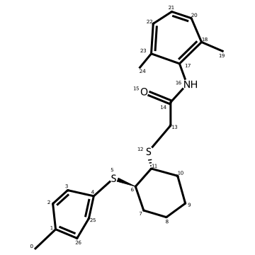 Cc1ccc(S[C@@H]2CCCC[C@H]2SCC(=O)Nc2c(C)cccc2C)cc1